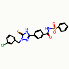 O=C(NS(=O)(=O)c1ccccc1)c1ccc(-c2nn(Cc3cccc(Cl)c3)c(=S)[nH]2)cc1